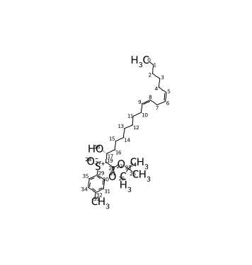 CCCCC/C=C\C/C=C\CCCCCCC[C@@H](O)[C@H](C(=O)OC(C)(C)C)[S+]([O-])c1ccc(C)cc1